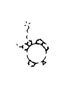 CNc1nc2c3c(cn(COCC[Si](C)(C)C)c3n1)-c1ccc3ncc(cc3c1)OCC1(CC1)Oc1cncc(c1)CO2